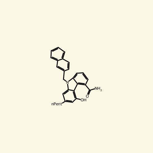 CCCCCc1cc(O)c2c3c(C(N)=O)cccc3n(Cc3ccc4ccccc4c3)c2c1